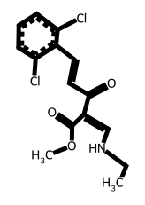 CCNC=C(C(=O)C=Cc1c(Cl)cccc1Cl)C(=O)OC